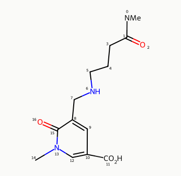 CNC(=O)CCCNCc1cc(C(=O)O)cn(C)c1=O